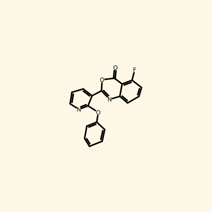 O=c1oc(-c2cccnc2Oc2ccccc2)nc2cccc(F)c12